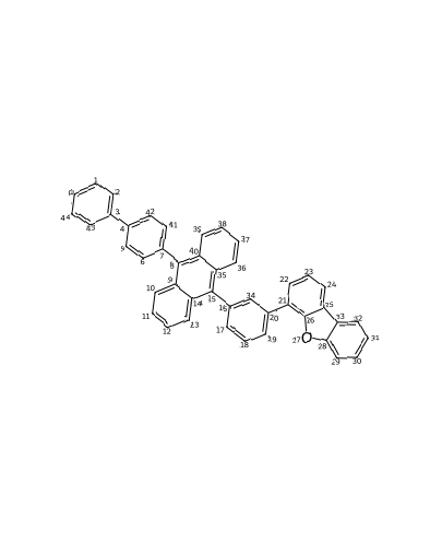 c1ccc(-c2ccc(-c3c4ccccc4c(-c4cccc(-c5cccc6c5oc5ccccc56)c4)c4ccccc34)cc2)cc1